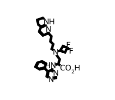 O=C(O)C(CCN(CCCCc1ccc2c(n1)NCCC2)C1CC(F)(F)C1)Nc1ncncc1-c1ccccc1